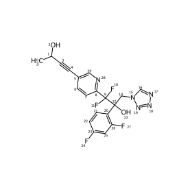 CC(O)C#Cc1ccc(C(F)(F)C(O)(Cn2cnnn2)c2ccc(F)cc2F)nc1